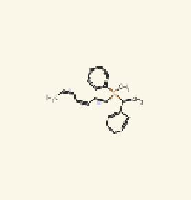 C=C(C1=CCCC=C1)S(C)(/C=C/C=C\C=C/C)c1ccccc1